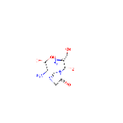 NCC(=O)O.N[C@@H](CO)C(=O)N1C=NCC1=O